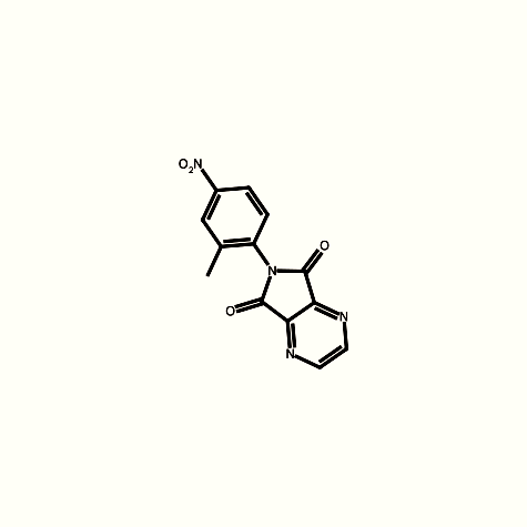 Cc1cc([N+](=O)[O-])ccc1N1C(=O)c2nccnc2C1=O